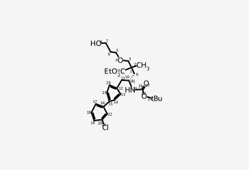 CCOC(=O)C(C)(COCCCO)C[C@@H](Cc1ccc(-c2cccc(Cl)c2)cc1)NC(=O)OC(C)(C)C